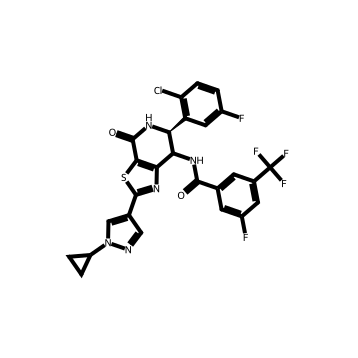 O=C(NC1c2nc(-c3cnn(C4CC4)c3)sc2C(=O)N[C@H]1c1cc(F)ccc1Cl)c1cc(F)cc(C(F)(F)F)c1